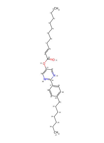 CCCCCCCCC=CC(=O)Oc1cnc(-c2ccc(CCCCCCC)cc2)nc1